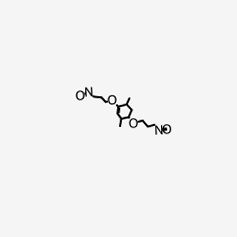 CC1CC(OCCCN=O)C(C)C=C1OCCCN=O